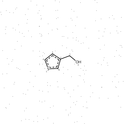 OCc1[c]csc1